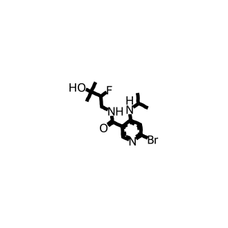 CC(C)Nc1cc(Br)ncc1C(=O)NCC(F)C(C)(C)O